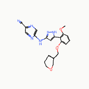 COc1cccc(OCC2CCCOC2)c1-c1cc(Nc2cnc(C#N)cn2)n[nH]1